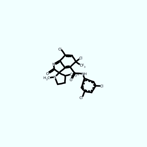 CN1CCC(C(=O)O)C12C(=O)N=C1C(Cl)=CC(Cl)(C(F)(F)F)C(C(=O)Nc3cc(Cl)cc(Cl)c3)=C12